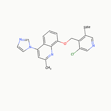 CSc1cncc(Cl)c1COc1cccc2c(-n3ccnc3)cc(C)nc12